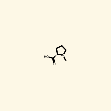 [CH2]N1CCC[C@@H]1C(=O)O